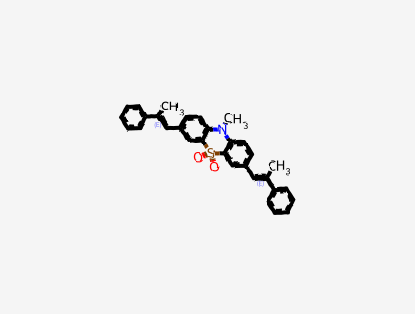 C/C(=C\c1ccc2c(c1)S(=O)(=O)c1cc(/C=C(\C)c3ccccc3)ccc1N2C)c1ccccc1